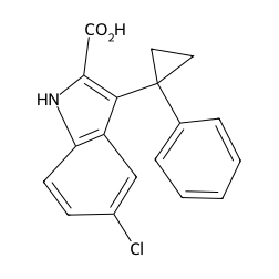 O=C(O)c1[nH]c2ccc(Cl)cc2c1C1(c2ccccc2)CC1